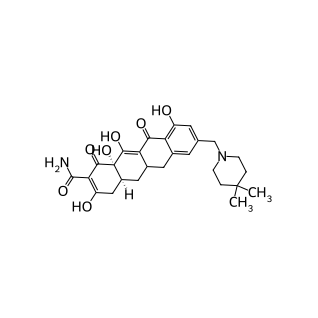 CC1(C)CCN(Cc2cc(O)c3c(c2)CC2C[C@H]4CC(O)=C(C(N)=O)C(=O)[C@@]4(O)C(O)=C2C3=O)CC1